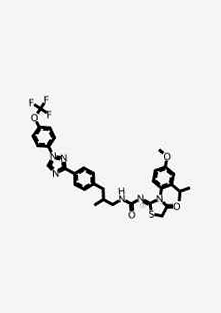 COc1ccc(N2C(=O)CS/C2=N\C(=O)NCC(C)Cc2ccc(-c3ncn(-c4ccc(OC(F)(F)F)cc4)n3)cc2)c(C(C)C)c1